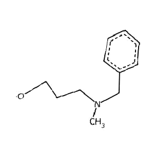 CN(CCC[O])Cc1ccccc1